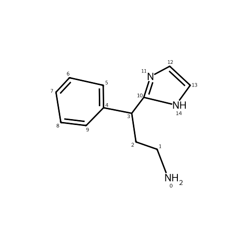 NCCC(c1ccccc1)c1ncc[nH]1